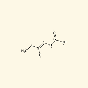 CCC(F)=COS(=O)O